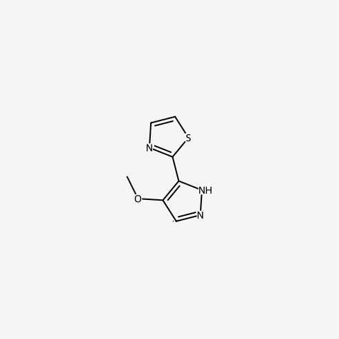 COc1[c]n[nH]c1-c1nccs1